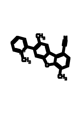 Cc1cc2c(cc1-c1cccc[n+]1C)oc1c(C)ccc(C#N)c12